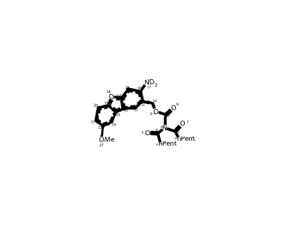 CCCCCC(=O)N(C(=O)CCCCC)C(=O)OCc1cc2c(cc1[N+](=O)[O-])oc1ccc(OC)cc12